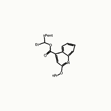 CCCCCC(CC)OC(=O)c1cc(OCCC)nc2ccccc12